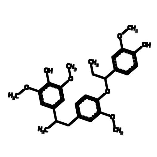 CCC(Oc1ccc(CC(C)c2cc(OC)c(O)c(OC)c2)cc1OC)c1ccc(O)c(OC)c1